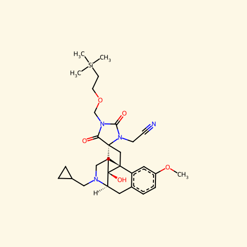 COc1ccc2c(c1)[C@]13CCN(CC4CC4)[C@H](C2)[C@]1(O)CC[C@]1(C3)C(=O)N(COCC[Si](C)(C)C)C(=O)N1CC#N